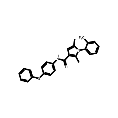 Cc1cc(C(=O)Nc2ccc(Sc3ccccc3)cc2)c(C)n1-c1ccccc1C(F)(F)F